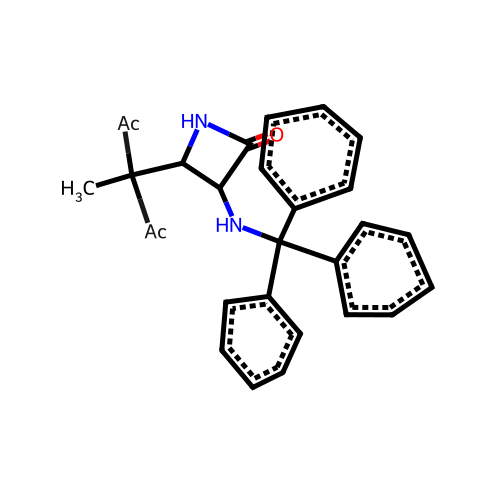 CC(=O)C(C)(C(C)=O)C1NC(=O)C1NC(c1ccccc1)(c1ccccc1)c1ccccc1